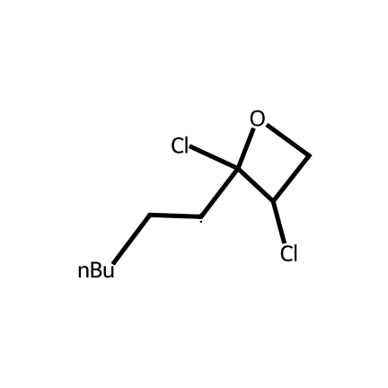 CCCCC[CH]C1(Cl)OCC1Cl